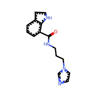 O=C(NCCCn1ccnc1)c1cccc2[c]c[nH]c12